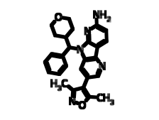 Cc1noc(C)c1-c1cnc2c3ccc(N)nc3n(C(c3ccccc3)C3CCOCC3)c2c1